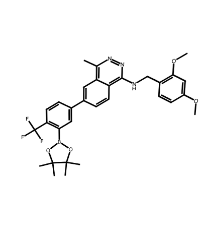 COc1ccc(CNc2nnc(C)c3cc(-c4ccc(C(F)(F)F)c(B5OC(C)(C)C(C)(C)O5)c4)ccc23)c(OC)c1